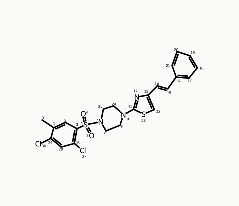 Cc1cc(S(=O)(=O)N2CCN(c3nc(C=Cc4ccccc4)cs3)CC2)c(Cl)cc1Cl